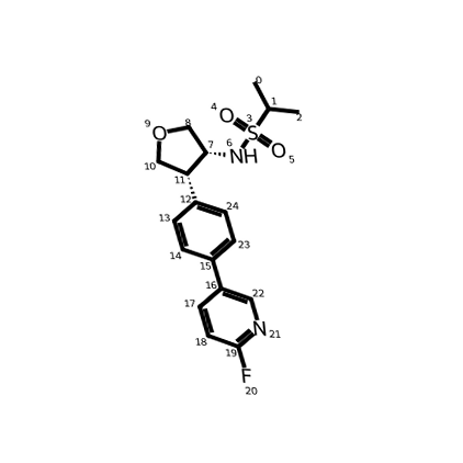 CC(C)S(=O)(=O)N[C@H]1COC[C@H]1c1ccc(-c2ccc(F)nc2)cc1